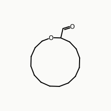 O=CC1CCCCCCCCCCCCCCO1